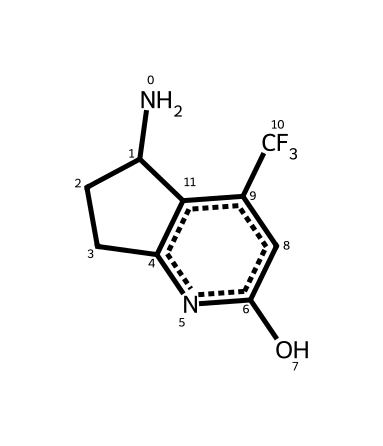 NC1CCc2nc(O)cc(C(F)(F)F)c21